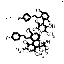 Cc1nn(C)c(=O)c(-c2c(F)ccc(Cl)c2CCc2ccc(F)cc2)c1C(C)(C)C(=O)O.Cc1nn(C)c(=O)c(-c2c(F)ccc(Cl)c2CCc2ccc(F)cc2)c1O